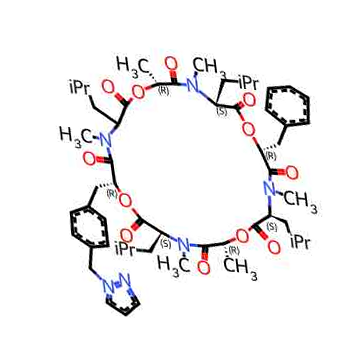 CC(C)CC1C(=O)O[C@H](C)C(=O)N(C)[C@@H](CC(C)C)C(=O)O[C@H](Cc2ccccc2)C(=O)N(C)[C@@H](CC(C)C)C(=O)O[C@H](C)C(=O)N(C)[C@@H](CC(C)C)C(=O)O[C@H](Cc2ccc(Cn3cccn3)cc2)C(=O)N1C